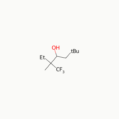 CCC(C)(C(O)CC(C)(C)C)C(F)(F)F